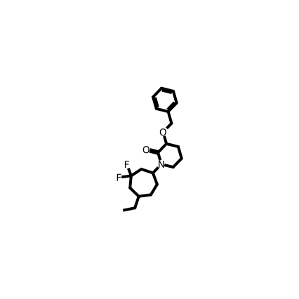 CCC1CCC(N2CCCC(OCc3ccccc3)C2=O)CC(F)(F)C1